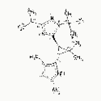 Cc1nc(N)[nH]c1[C@@H]1[C@@H](c2nc(C(C)C)nn2C(C)(C)C)C1(C)C